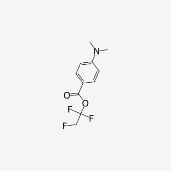 CN(C)c1ccc(C(=O)OC(F)(F)CF)cc1